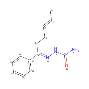 C/C=C/CC/C(=N\NC(N)=O)c1ccccc1